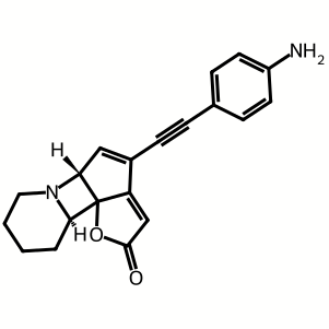 Nc1ccc(C#CC2=C[C@H]3N4CCCC[C@@H]4C34OC(=O)C=C24)cc1